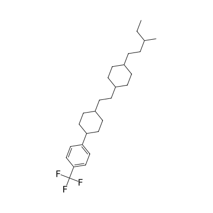 CCC(C)CCC1CCC(CCC2CCC(c3ccc(C(F)(F)F)cc3)CC2)CC1